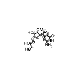 CO[C@H]1C(O)[C@@H](OOP(O)CO)O[C@H]1n1cnc2c(=O)[nH]c(N)nc21